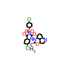 CC(=O)N(c1cccc2ncccc12)n1c(=O)n(S(=O)(=O)c2ccc(Cl)cc2)c(=O)c2ccc(Cl)cc21